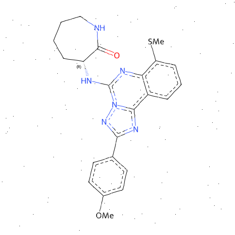 COc1ccc(-c2nc3c4cccc(SC)c4nc(N[C@@H]4CCCCNC4=O)n3n2)cc1